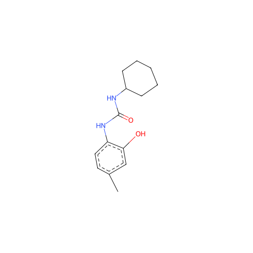 Cc1ccc(NC(=O)NC2CCCCC2)c(O)c1